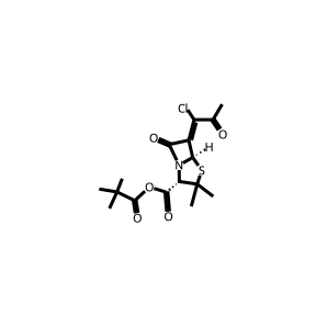 CC(=O)C(Cl)=C1C(=O)N2[C@@H]1SC(C)(C)[C@@H]2C(=O)OC(=O)C(C)(C)C